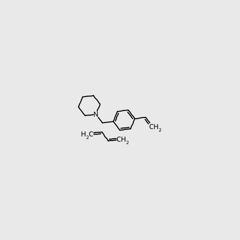 C=CC=C.C=Cc1ccc(CN2CCCCC2)cc1